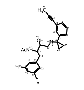 CC#Cc1cccc(C2(NCC(O)C(Cc3cc(F)cc(F)c3)NC(C)=O)CC2)c1